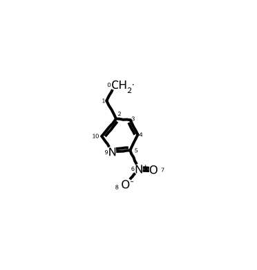 [CH2]Cc1ccc([N+](=O)[O-])nc1